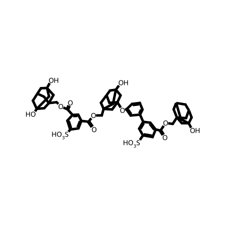 O=C(OCC12CC3CC(CC(O)(C3)C1)C2)c1cc(-c2cccc(OC34CC5CC(O)(CC(COC(=O)c6cc(C(=O)OCC78CC9CC(O)(CC(O)(C9)C7)C8)cc(S(=O)(=O)O)c6)(C5)C3)C4)c2)cc(S(=O)(=O)O)c1